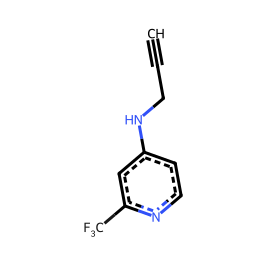 C#CCNc1ccnc(C(F)(F)F)c1